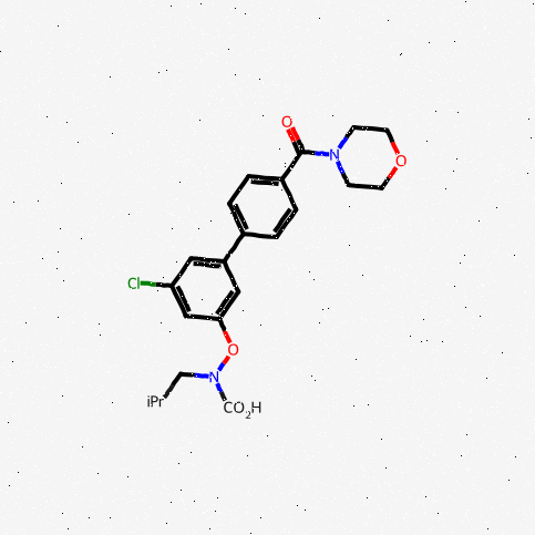 CC(C)CN(Oc1cc(Cl)cc(-c2ccc(C(=O)N3CCOCC3)cc2)c1)C(=O)O